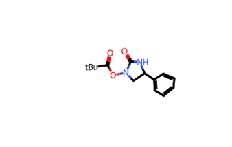 CC(C)(C)C(=O)ON1CC(c2ccccc2)NC1=O